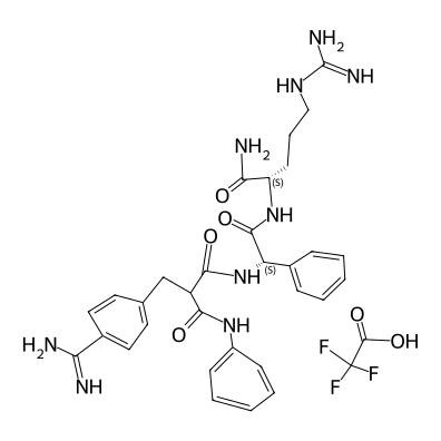 N=C(N)NCCC[C@H](NC(=O)[C@@H](NC(=O)C(Cc1ccc(C(=N)N)cc1)C(=O)Nc1ccccc1)c1ccccc1)C(N)=O.O=C(O)C(F)(F)F